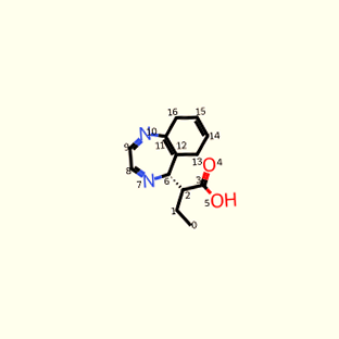 CCC(C(=O)O)[C@@H]1N=CC=NC2=C1CC=CC2